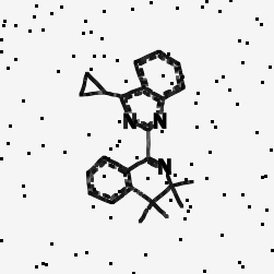 CC1(C)N=C(c2nc(C3CC3)c3ccccc3n2)c2ccccc2C1(C)C